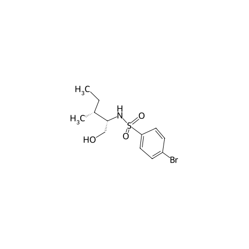 CC[C@@H](C)[C@@H](CO)NS(=O)(=O)c1ccc(Br)cc1